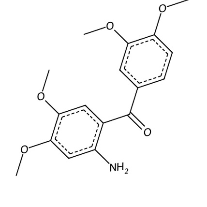 COc1ccc(C(=O)c2cc(OC)c(OC)cc2N)cc1OC